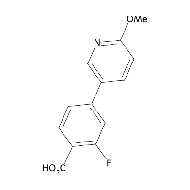 COc1ccc(-c2ccc(C(=O)O)c(F)c2)cn1